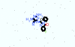 C[C@H](Nc1nc(N)nc(N)c1C#N)c1nc2ccc(F)cc2c(=O)n1-c1ccccc1